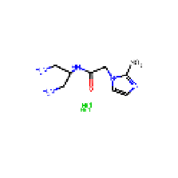 Cl.Cl.NCC(CN)NC(=O)Cn1ccnc1[N+](=O)[O-]